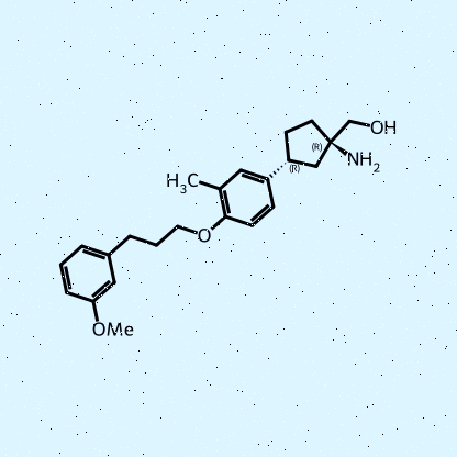 COc1cccc(CCCOc2ccc([C@@H]3CC[C@](N)(CO)C3)cc2C)c1